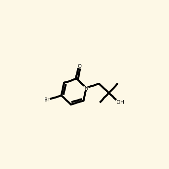 CC(C)(O)Cn1ccc(Br)cc1=O